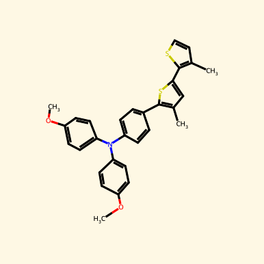 COc1ccc(N(c2ccc(OC)cc2)c2ccc(-c3sc(-c4sccc4C)cc3C)cc2)cc1